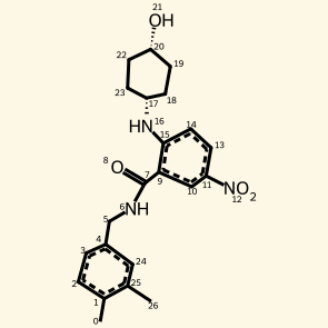 Cc1ccc(CNC(=O)c2cc([N+](=O)[O-])ccc2N[C@H]2CC[C@@H](O)CC2)cc1C